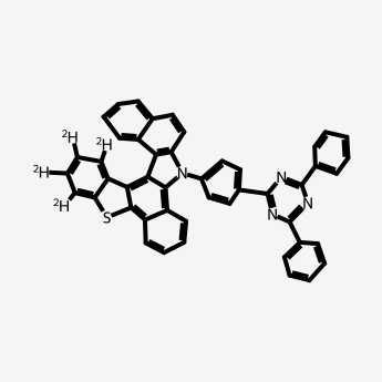 [2H]c1c([2H])c([2H])c2c(sc3c4ccccc4c4c(c32)c2c3ccccc3ccc2n4-c2ccc(-c3nc(-c4ccccc4)nc(-c4ccccc4)n3)cc2)c1[2H]